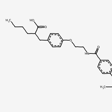 CCCCC(Cc1ccc(OCCNC(=O)c2ccc(OC(C)C)nc2)cc1)C(=O)O